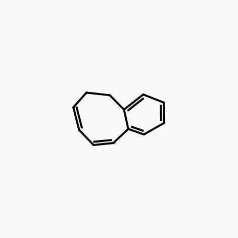 [C]1=C\C=C/CCc2ccccc2/1